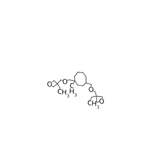 CCC1(COCC2CCCCC(C)(COCC3(CC)COC3)CC2)COC1